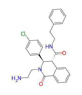 NCCN1C(=O)c2ccccc2[C@@H](C(=O)NCCc2ccccc2)[C@@H]1c1ccc(Cl)cc1